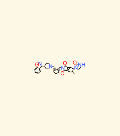 CC1C2CC(C3C(=O)N(C[C@H]4CCC[C@@H]4CN4CCC(c5noc6ccccc56)CC4)C(=O)C23)C1N1CCNC1=O